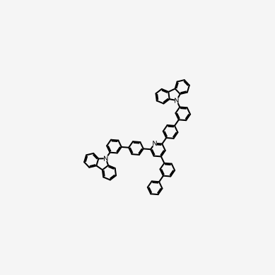 c1ccc(-c2cccc(-c3cc(-c4ccc(-c5cccc(-n6c7ccccc7c7ccccc76)c5)cc4)nc(-c4ccc(-c5cccc(-n6c7ccccc7c7ccccc76)c5)cc4)c3)c2)cc1